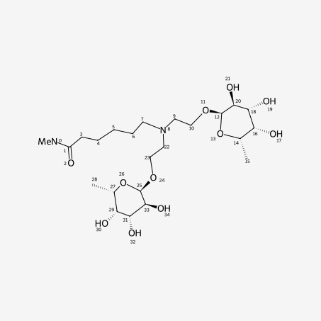 CNC(=O)CCCCCN(CCO[C@@H]1O[C@@H](C)[C@@H](O)[C@@H](O)[C@@H]1O)CCO[C@@H]1O[C@@H](C)[C@@H](O)[C@@H](O)[C@@H]1O